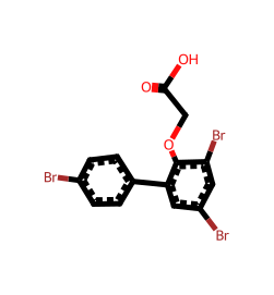 O=C(O)COc1c(Br)cc(Br)cc1-c1ccc(Br)cc1